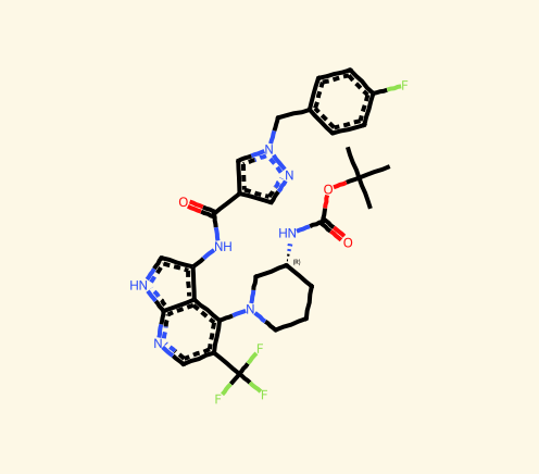 CC(C)(C)OC(=O)N[C@@H]1CCCN(c2c(C(F)(F)F)cnc3[nH]cc(NC(=O)c4cnn(Cc5ccc(F)cc5)c4)c23)C1